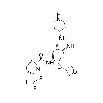 N=C1C=C(OC2COC2)C(NC(=O)c2cccc(C(F)(F)F)n2)=C/C1=C/NC1CCNCC1